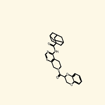 O=C(C1COc2ccccc2O1)N1CCc2c(ncnc2NC(=O)C23CC4CC(CC(C4)C2)C3)C1